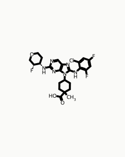 CC1(C(=O)O)CCC(n2c(Nc3c(F)cc(F)cc3Cl)nc3cnc(N[C@H]4CCOC[C@H]4F)nc32)CC1